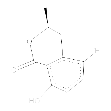 [2H]c1ccc(O)c2c1C[C@H](C)OC2=O